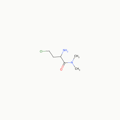 CN(C)C(=O)C(N)CCCl